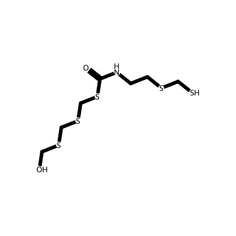 O=C(NCCSCS)SCSCSCO